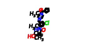 Cc1c(CN2CCN(C(=O)C3CCCC3)[C@@H](C)C2)cc(Cl)cc1NC(=O)[C@@H]1C[C@@H]1C(C)(C)O